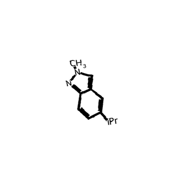 CC(C)c1ccc2nn(C)cc2c1